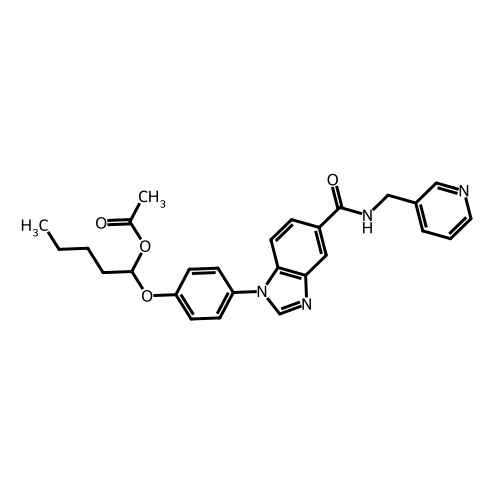 CCCCC(OC(C)=O)Oc1ccc(-n2cnc3cc(C(=O)NCc4cccnc4)ccc32)cc1